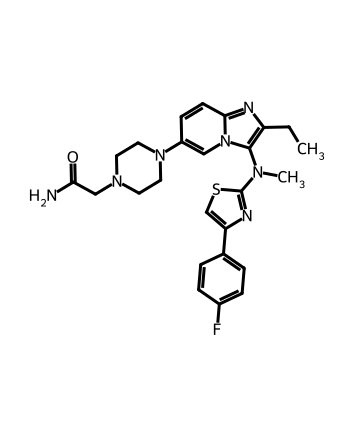 CCc1nc2ccc(N3CCN(CC(N)=O)CC3)cn2c1N(C)c1nc(-c2ccc(F)cc2)cs1